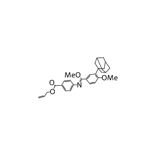 C=CCOC(=O)c1ccc(N=C(OC)c2ccc(OC)c(C34CC5CC(CC(C5)C3)C4)c2)cc1